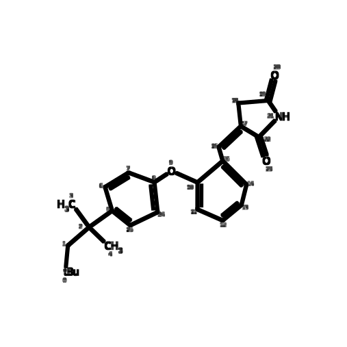 CC(C)(C)CC(C)(C)c1ccc(Oc2ccccc2/C=C2/CC(=O)NC2=O)cc1